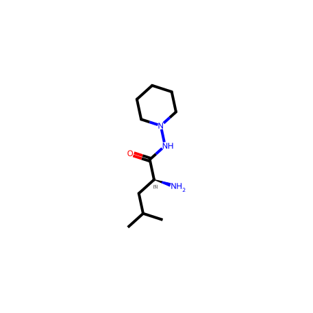 CC(C)C[C@H](N)C(=O)NN1CCCCC1